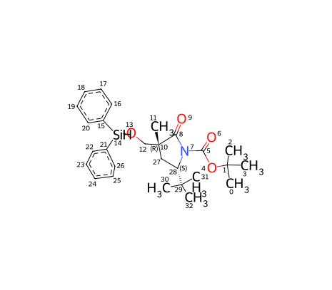 CC(C)(C)OC(=O)N1C(=O)[C@@](C)(CO[SiH](c2ccccc2)c2ccccc2)C[C@H]1C(C)(C)C